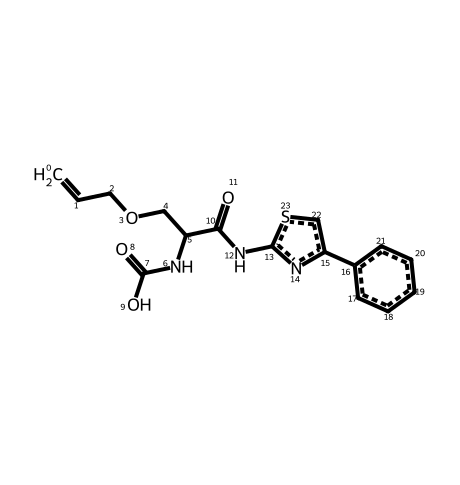 C=CCOCC(NC(=O)O)C(=O)Nc1nc(-c2ccccc2)cs1